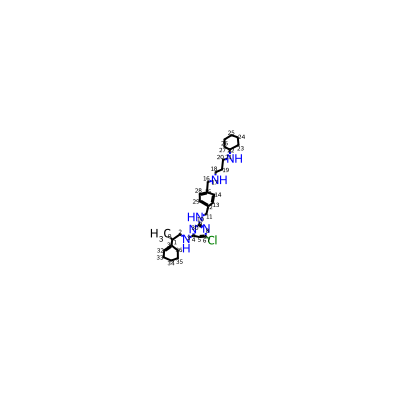 CC(CNc1cc(Cl)nc(NCc2ccc(CNCCCNC3CCCCC3)cc2)n1)C1=CCCCC1